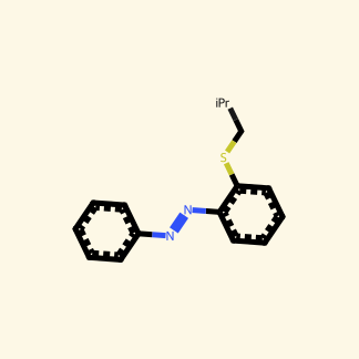 CC(C)CSc1ccccc1N=Nc1ccccc1